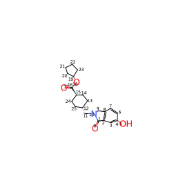 O=C1c2cc(O)ccc2CN1C[C@H]1CC[C@H](C(=O)OC2CCCC2)CC1